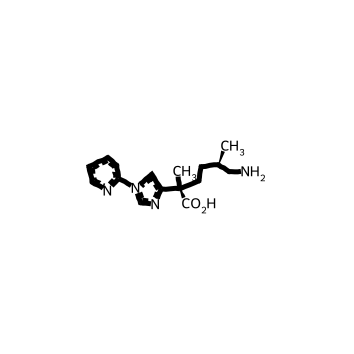 C[C@@H](CN)CC[C@](C)(C(=O)O)c1cn(-c2ccccn2)cn1